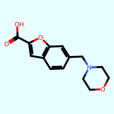 O=C(O)c1cc2ccc(CN3CCOCC3)cc2o1